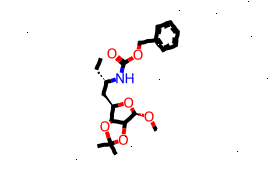 CC[C@@H](C[C@H]1O[C@@H](OC)C2OC(C)(C)OC21)NC(=O)OCc1ccccc1